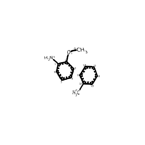 COc1ccccc1N.Cc1ccccc1